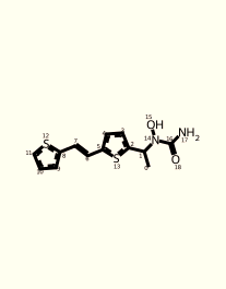 CC(c1ccc(C=Cc2cccs2)s1)N(O)C(N)=O